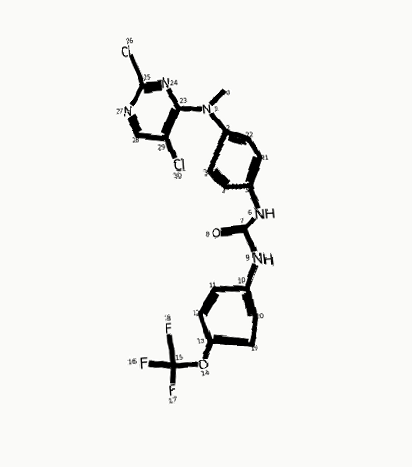 CN(c1ccc(NC(=O)Nc2ccc(OC(F)(F)F)cc2)cc1)c1nc(Cl)ncc1Cl